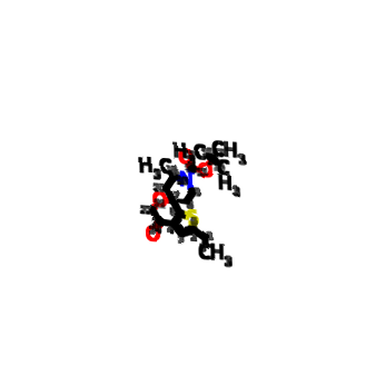 CCc1cc2c(s1)[C@]1(CCN(C(=O)OC(C)(C)C)[C@@H](C)C1)OCC2=O